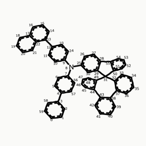 c1ccc(-c2ccc(N(c3ccc(-c4cccc5ccccc45)cc3)c3ccc4c(c3)C3(c5ccccc5-c5ccccc5-c5ccccc53)c3ccccc3-4)cc2)cc1